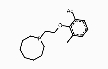 CC(=O)c1cccc(C)c1OCCP1CCCCCCC1